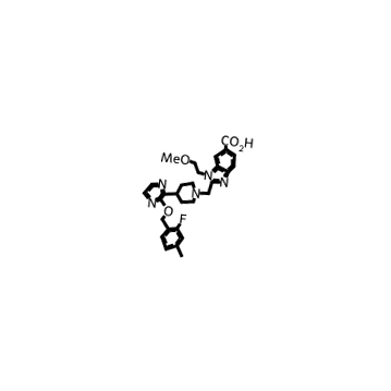 COCCn1c(CN2CCC(c3nccnc3OCc3ccc(C)cc3F)CC2)nc2ccc(C(=O)O)cc21